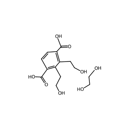 O=C(O)c1ccc(C(=O)O)c(CCO)c1CCO.OCCO